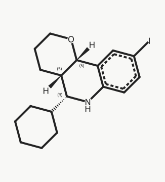 Ic1ccc2c(c1)[C@H]1OCCC[C@H]1[C@@H](C1CCCCC1)N2